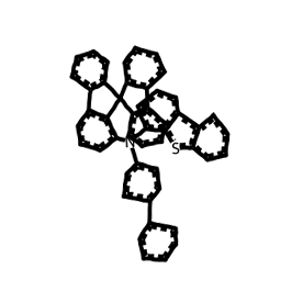 c1ccc(-c2ccc(N(c3cccc4c3C3(c5ccccc5-c5ccccc53)c3ccccc3-4)c3cccc4c3sc3ccccc34)cc2)cc1